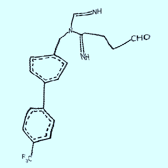 N=CN(Cc1ccc(-c2ccc(C(F)(F)F)cc2)cc1)C(=N)CCC=O